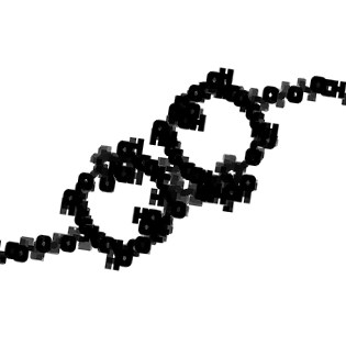 COCCOCCOCCN1CCNC(=O)COc2ccc(n(O)c2=O)C(=O)NCCN(CCN2CCNC(=O)c3ccc(c(=O)n3O)OCC(=O)NCCN(CCOCCOCCOC)CCNC(=O)COc3ccc(n(O)c3=O)C(=O)NC(CCCCN)C2)CCNC(=O)c2ccc(c(=O)n2O)OCC(=O)NCC1